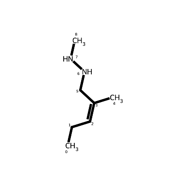 CCC=C(C)CNNC